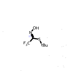 CC(C)(C)S/C(=N\O)C(F)(F)F